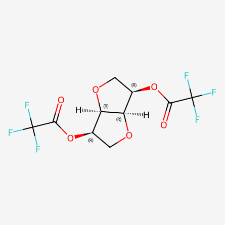 O=C(O[C@@H]1CO[C@H]2[C@@H]1OC[C@H]2OC(=O)C(F)(F)F)C(F)(F)F